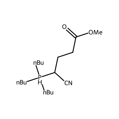 CCCC[PH](CCCC)(CCCC)C(C#N)CCC(=O)OC